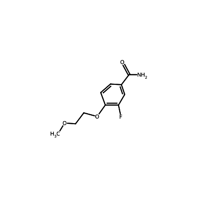 COCCOc1ccc(C(N)=O)cc1F